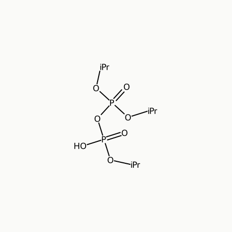 CC(C)OP(=O)(O)OP(=O)(OC(C)C)OC(C)C